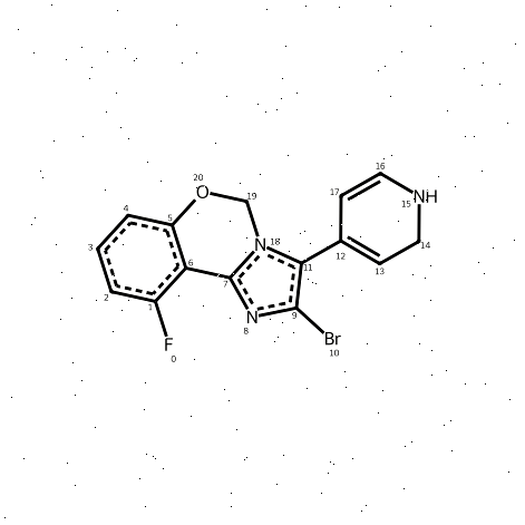 Fc1cccc2c1-c1nc(Br)c(C3=CCNC=C3)n1CO2